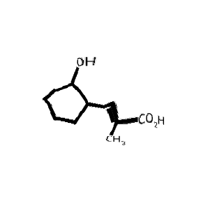 CC(=CC1CCCCC1O)C(=O)O